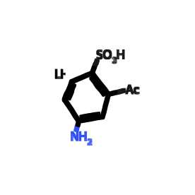 CC(=O)c1cc(N)ccc1S(=O)(=O)O.[Li]